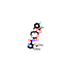 COc1ccnc(C(=O)N[C@H]2CCC[C@H](Cc3ccc(F)cc3)[C@@H](OC(=O)C(C)C)[C@H](C)OC2=O)c1OCOC(C)=O